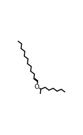 CCCCCCCCCCC=COC(C)CCCCCC